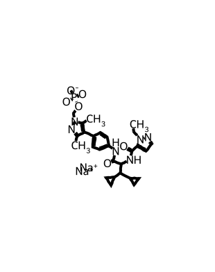 CCn1nccc1C(=O)NC(C(=O)Nc1ccc(-c2c(C)nn(COP(=O)([O-])[O-])c2C)cc1)C(C1CC1)C1CC1.[Na+].[Na+]